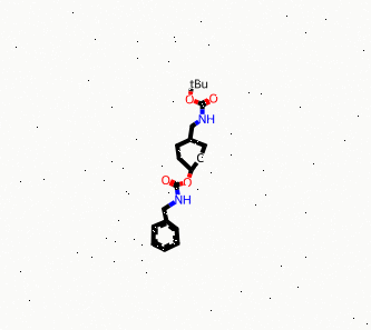 CC(C)(C)OC(=O)NCC1CCC(OC(=O)NCc2ccccc2)CC1